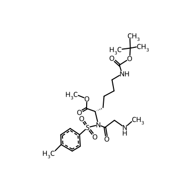 CNCC(=O)N([C@@H](CCCCNC(=O)OC(C)(C)C)C(=O)OC)S(=O)(=O)c1ccc(C)cc1